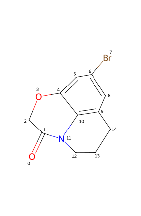 O=C1COc2cc(Br)cc3c2N1CCC3